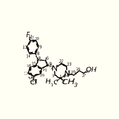 CC1(C)CN([C@H]2C[C@H](c3ccc(F)cc3)c3ccc(Cl)cc32)CCN1CCCO